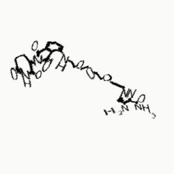 NC(=O)c1nn(CCOCCOCCOCCNc2cccc3c2C(=O)N(C2CCC(=O)NC2=O)C3=O)cc1N